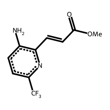 COC(=O)/C=C/c1nc(C(F)(F)F)ccc1N